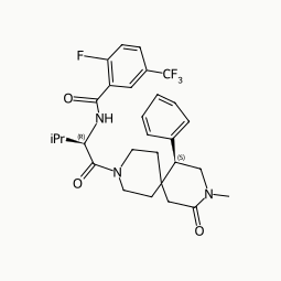 CC(C)[C@@H](NC(=O)c1cc(C(F)(F)F)ccc1F)C(=O)N1CCC2(CC1)CC(=O)N(C)C[C@@H]2c1ccccc1